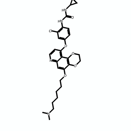 CN(C)CCCCCCOc1cc2nccc(Oc3ccc(NC(=O)NC4CC4)c(Cl)c3)c2c2c1OCCO2